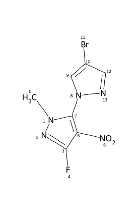 Cn1nc(F)c([N+](=O)[O-])c1-n1cc(Br)cn1